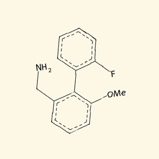 COc1cccc(CN)c1-c1ccccc1F